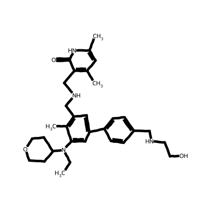 CCN(c1cc(-c2ccc(CNCCO)cc2)cc(CNCc2c(C)cc(C)[nH]c2=O)c1C)C1CCOCC1